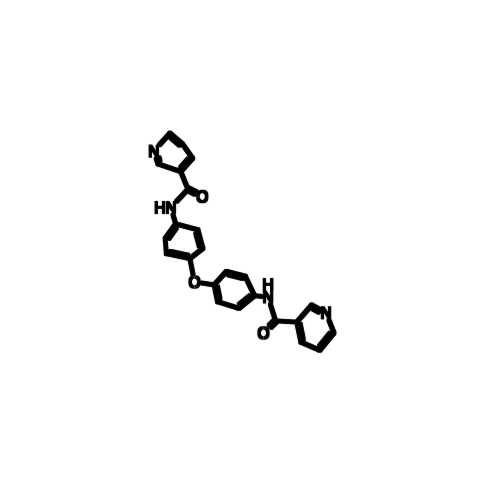 O=C(Nc1ccc(Oc2ccc(NC(=O)c3cccnc3)cc2)cc1)c1cccnc1